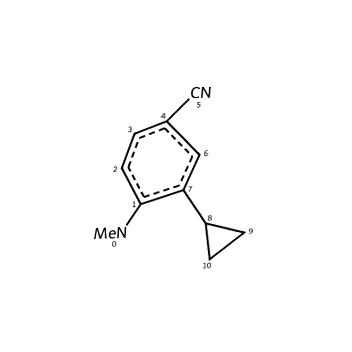 CNc1ccc(C#N)cc1C1CC1